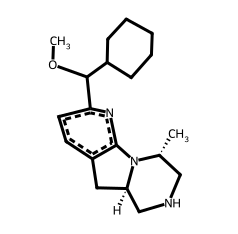 COC(c1ccc2c(n1)N1[C@@H](CNC[C@H]1C)C2)C1CCCCC1